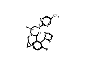 C[C@@H](CNc1ncc(C(F)(F)F)cn1)N(CC1CC1)C(=O)c1cccc(F)c1-n1nccn1